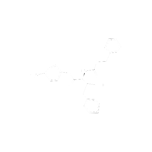 O=C(N[C@H](C(=O)Oc1ccc([N+](=O)[O-])cc1)C(Cc1ccccc1)C(=O)O)OCc1ccccc1